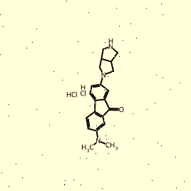 CN(C)c1ccc2c(c1)C(=O)c1cc(N3CC4CNCC4C3)ccc1-2.Cl.Cl